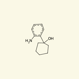 Nc1ccccc1C1(O)CCCCC1